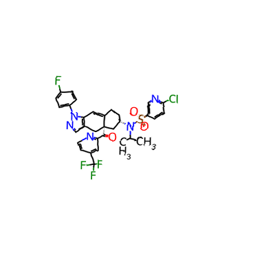 CC(C)N([C@H]1CCC2=Cc3c(cnn3-c3ccc(F)cc3)C[C@]2(C(=O)c2cc(C(F)(F)F)ccn2)C1)S(=O)(=O)c1ccc(Cl)nc1